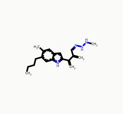 C=C(/C=N\NNC)C(=C)c1cc2cc(C)c(CCCC)cc2[nH]1